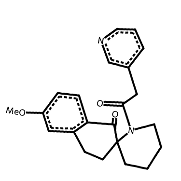 COc1ccc2c(c1)CCC1(CCCCN1C(=O)Cc1cccnc1)C2=O